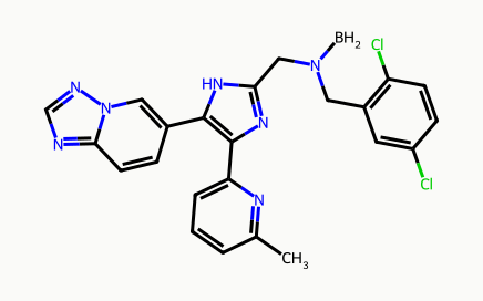 BN(Cc1nc(-c2cccc(C)n2)c(-c2ccc3ncnn3c2)[nH]1)Cc1cc(Cl)ccc1Cl